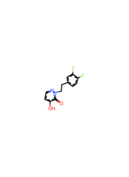 O=c1c(O)ccnn1CCc1ccc(F)c(F)c1